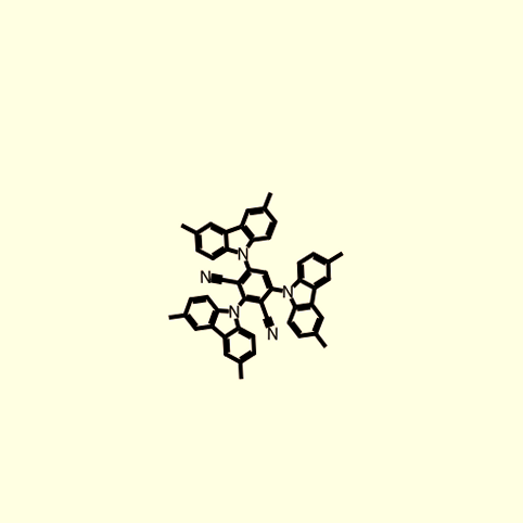 Cc1ccc2c(c1)c1cc(C)ccc1n2-c1cc(-n2c3ccc(C)cc3c3cc(C)ccc32)c(C#N)c(-n2c3ccc(C)cc3c3cc(C)ccc32)c1C#N